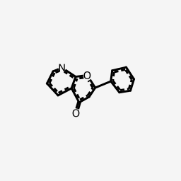 O=c1cc(-c2ccccc2)oc2ncccc12